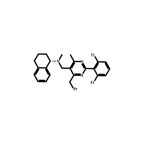 CCc1cccc(CC)c1-c1nc(C)c(CN(C)[C@H]2CCCc3ccccc32)c(CC(C)C)n1